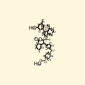 CC(c1oc(=O)c2ccccc2c1-c1ccc(CN2CCN(CCO)CC2)s1)n1nc(-c2cc(O)cc(F)c2)c2c(N)ncnc21